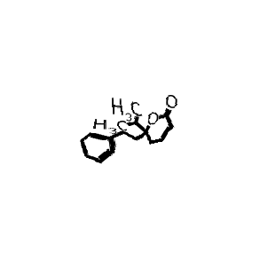 CC(C)C1(CCc2ccccc2)CC=CC(=O)O1